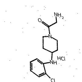 Cl.NCC(=O)N1CCC(Nc2ccccc2Cl)CC1